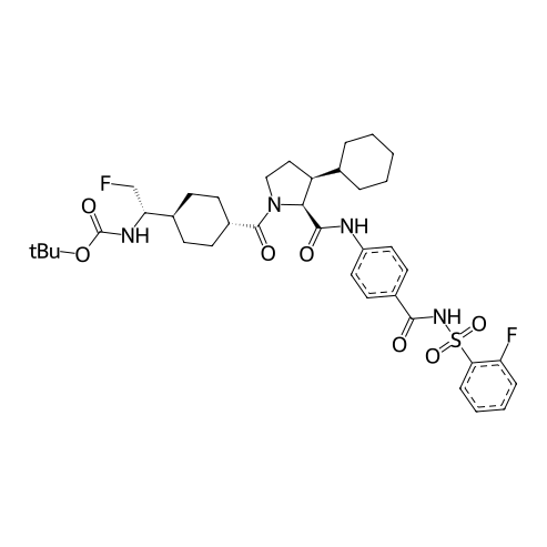 CC(C)(C)OC(=O)N[C@H](CF)[C@H]1CC[C@H](C(=O)N2CC[C@@H](C3CCCCC3)[C@H]2C(=O)Nc2ccc(C(=O)NS(=O)(=O)c3ccccc3F)cc2)CC1